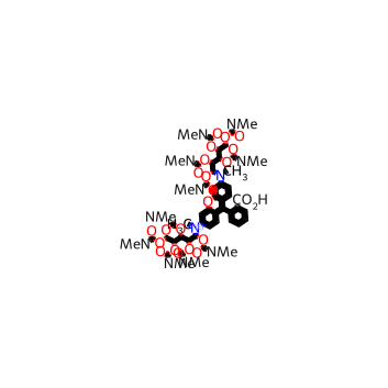 CNC(=O)OCC(OC(=O)NC)C(OC(=O)NC)C(OC(=O)NC)C(OC(=O)NC)N(C)c1ccc2c(-c3ccccc3C(=O)O)c3cc/c(=[N+](/C)C(OC(=O)NC)C(OC(=O)NC)C(OC(=O)NC)C(COC(=O)NC)OC(=O)NC)cc-3oc2c1